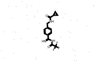 N=C(NC(=O)C(F)(F)F)c1ccc(CNC(=O)C2CC2)cc1